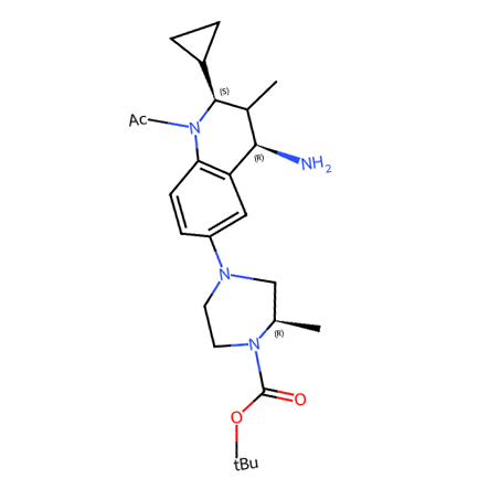 CC(=O)N1c2ccc(N3CCN(C(=O)OC(C)(C)C)[C@H](C)C3)cc2[C@H](N)C(C)[C@@H]1C1CC1